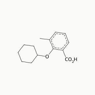 Cc1cccc(C(=O)O)c1OC1CCCCC1